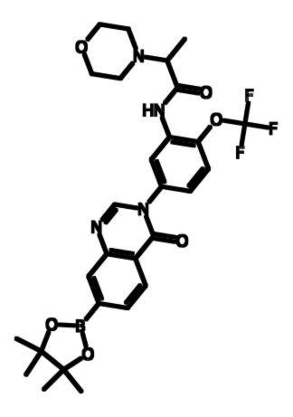 CC(C(=O)Nc1cc(-n2cnc3cc(B4OC(C)(C)C(C)(C)O4)ccc3c2=O)ccc1OC(F)(F)F)N1CCOCC1